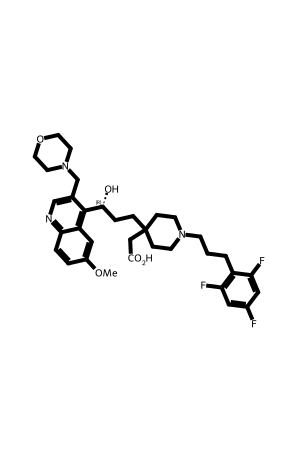 COc1ccc2ncc(CN3CCOCC3)c([C@H](O)CCC3(CC(=O)O)CCN(CCCc4c(F)cc(F)cc4F)CC3)c2c1